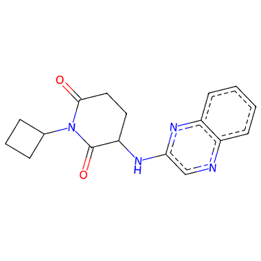 O=C1CCC(Nc2cnc3ccccc3n2)C(=O)N1C1CCC1